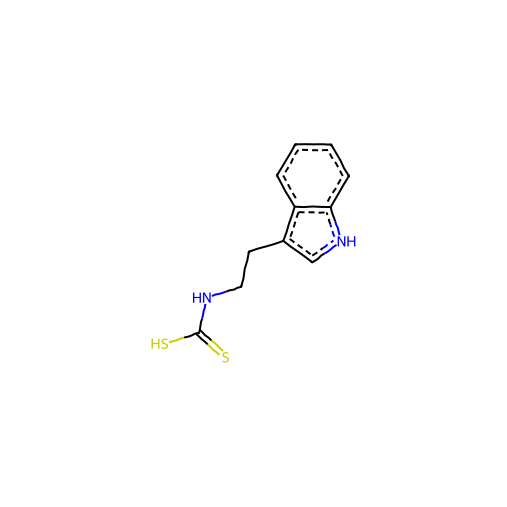 S=C(S)NCCc1c[nH]c2ccccc12